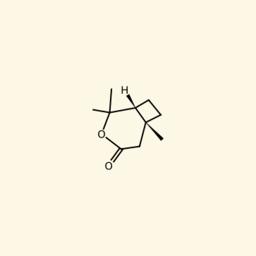 CC1(C)OC(=O)C[C@@]2(C)CC[C@@H]12